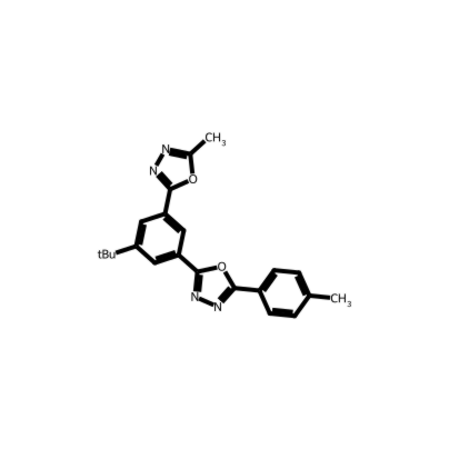 Cc1ccc(-c2nnc(-c3cc(-c4nnc(C)o4)cc(C(C)(C)C)c3)o2)cc1